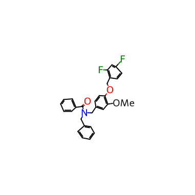 COc1cc(CN(Cc2ccccc2)C(=O)c2ccccc2)ccc1OCc1ccc(F)cc1F